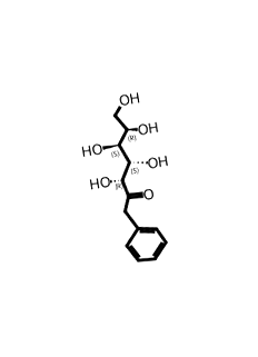 O=C(Cc1ccccc1)[C@H](O)[C@@H](O)[C@@H](O)[C@H](O)CO